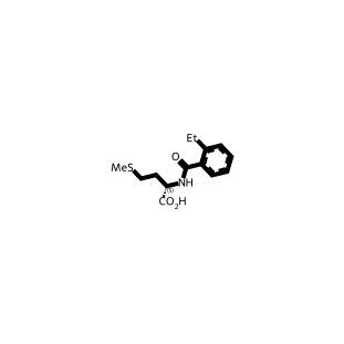 CCc1ccccc1C(=O)N[C@@H](CCSC)C(=O)O